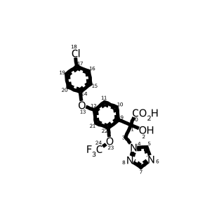 O=C(O)C(O)(Cn1cncn1)c1ccc(Oc2ccc(Cl)cc2)cc1OC(F)(F)F